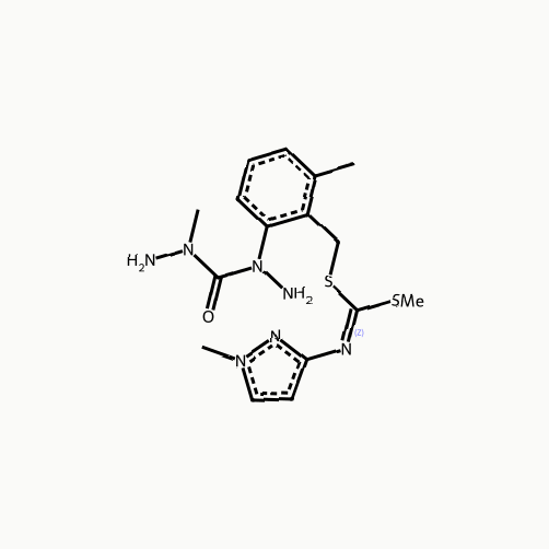 CS/C(=N/c1ccn(C)n1)SCc1c(C)cccc1N(N)C(=O)N(C)N